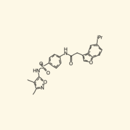 Cc1noc(NS(=O)(=O)c2ccc(NC(=O)Cc3coc4ccc(C(C)C)cc34)cc2)c1C